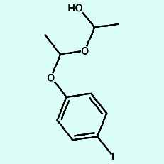 CC(O)OC(C)Oc1ccc(I)cc1